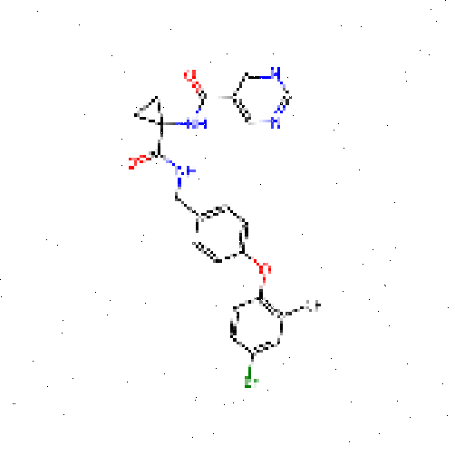 O=C(NC1(C(=O)NCc2ccc(Oc3ccc(Br)cc3C(F)(F)F)cc2)CC1)c1cncnc1